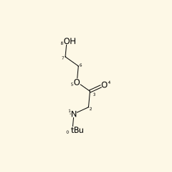 CC(C)(C)[N]CC(=O)OCCO